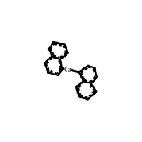 c1ccc2[c]([Ca][c]3cccc4ccccc34)cccc2c1